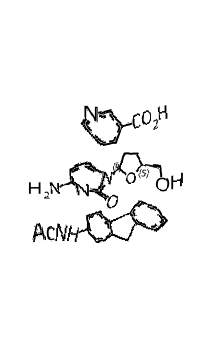 CC(=O)Nc1ccc2c(c1)Cc1ccccc1-2.Nc1ccn([C@H]2CC[C@@H](CO)O2)c(=O)n1.O=C(O)c1cccnc1